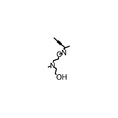 CC#C/C(C)=N\OCCN(C)CCO